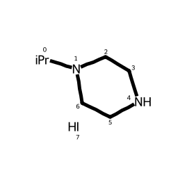 CC(C)N1CCNCC1.I